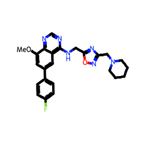 COc1cc(-c2ccc(F)cc2)cc2c(NCc3nc(CN4CCCCC4)no3)ncnc12